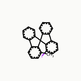 Cc1cccc2c1C1(c3ccccc3-2)c2ccccc2-c2cccc(I)c21